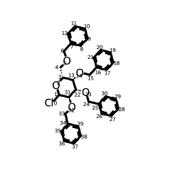 ClC1O[C@H](COCc2ccccc2)[C@H](OCc2ccccc2)[C@H](OCc2ccccc2)[C@H]1OCc1ccccc1